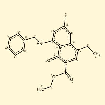 CCOC(=O)c1cn(CC)c2cc(F)cc(NCc3ccccc3)c2c1=O